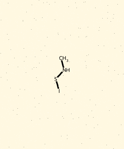 CNSI